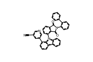 N#Cc1cncc(-c2cccc3c4ccccc4n(-c4cccc5c4C(=O)N(c4ccccc4-c4ccccc4)C5=O)c23)c1